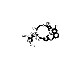 COc1nn(C)cc1C(=O)NS1(=O)=NC(=O)c2ccc3c(c2)N(C[C@@H]2CC[C@H]2[C@@H](O)CCC[C@H](C)C1)C[C@@]1(CCCc2cc(Cl)ccc21)CO3